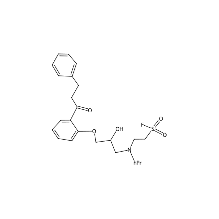 CCCN(CCS(=O)(=O)F)CC(O)COc1ccccc1C(=O)CCc1ccccc1